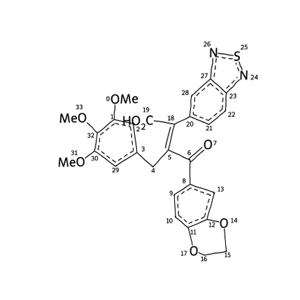 COc1cc(CC(C(=O)c2ccc3c(c2)OCCO3)=C(C(=O)O)c2ccc3nsnc3c2)cc(OC)c1OC